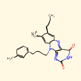 CCCc1cc2nc3c(=O)[nH]c(=O)nc-3n(CCCc3cccc(C)c3)c2cc1C